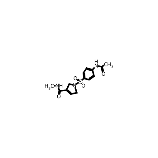 CNC(=O)C1=CCN(S(=O)(=O)c2ccc(NC(C)=O)cc2)C1